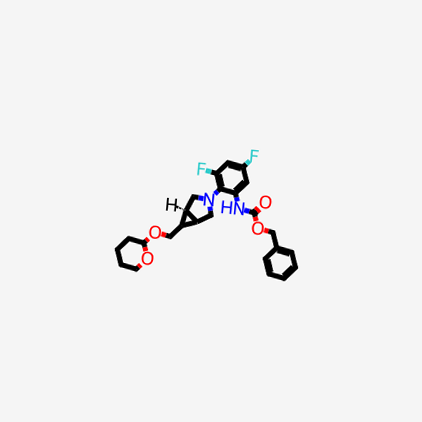 O=C(Nc1cc(F)cc(F)c1N1CC2C(COC3CCCCO3)[C@H]2C1)OCc1ccccc1